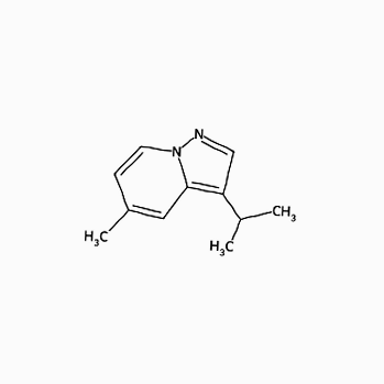 Cc1ccn2ncc(C(C)C)c2c1